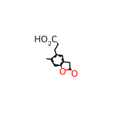 Cc1cc2c(cc1CCC(=O)O)CC(=O)O2